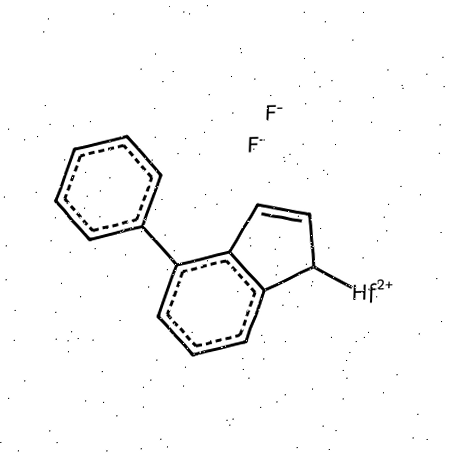 [F-].[F-].[Hf+2][CH]1C=Cc2c(-c3ccccc3)cccc21